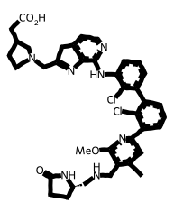 COc1nc(-c2cccc(-c3cccc(Nc4nccc5c4N=C(CN4CCC(CC(=O)O)C4)C5)c3Cl)c2Cl)cc(C)c1CNC[C@@H]1CCC(=O)N1